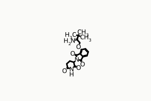 CC(C)(C)[C@H](N)COc1cccc2c1C(=O)N(C1CCC(=O)NC1=O)C2=O